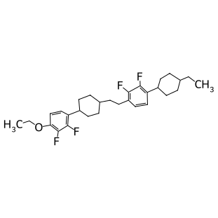 CCOc1ccc(C2CCC(CCc3ccc(C4CCC(CC)CC4)c(F)c3F)CC2)c(F)c1F